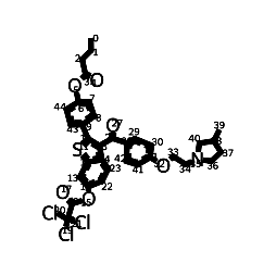 CCCC(=O)Oc1ccc(-c2sc3cc(OC(=O)C(Cl)(Cl)Cl)ccc3c2C(=O)c2ccc(OCCN3CCC(C)C3)cc2)cc1